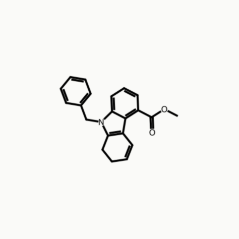 COC(=O)c1cccc2c1c1c(n2Cc2ccccc2)CCC=C1